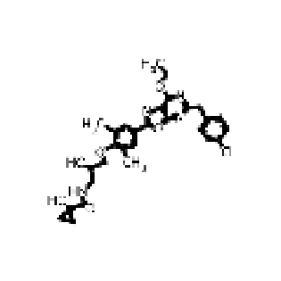 CCOc1nc(Cc2ccc(Cl)cc2)nc2oc(-c3cc(C)c(OCC(O)CNC(=O)C4(O)CC4)c(C)c3)nc12